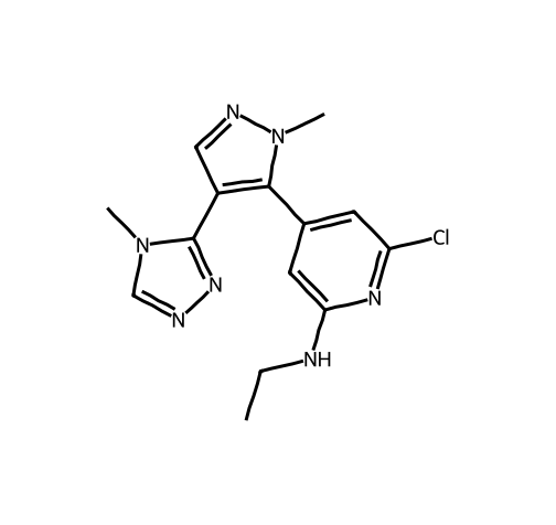 CCNc1cc(-c2c(-c3nncn3C)cnn2C)cc(Cl)n1